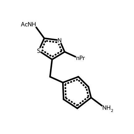 CCCc1nc(NC(C)=O)sc1Cc1ccc(N)cc1